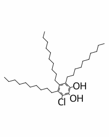 CCCCCCCCCCc1c(O)c(O)c(Cl)c(CCCCCCCCCC)c1CCCCCCCCCC